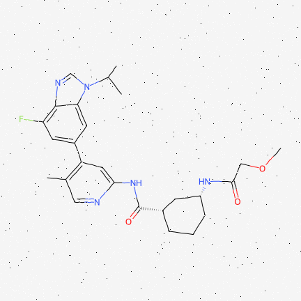 COCC(=O)N[C@@H]1CCC[C@H](C(=O)Nc2cc(-c3cc(F)c4ncn(C(C)C)c4c3)c(C)cn2)C1